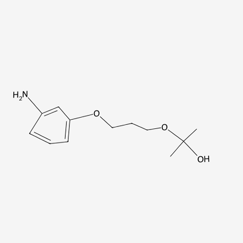 CC(C)(O)OCCCOc1cccc(N)c1